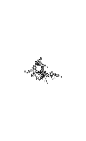 Cc1cc(-c2ccc(OC(C)C)cc2)nc(C)c1C(=O)N[C@@H](CCN)C(=O)N(C)[C@@H]1C(=O)N[C@@H](C)C(=O)N[C@H](C(=O)NCC#N)Cc2ccc(OCCN)c(c2)-c2cc1ccc2OCCN